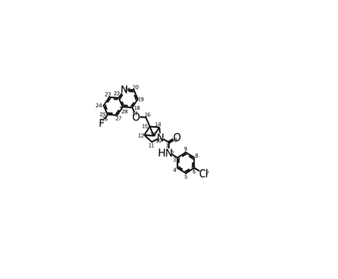 O=C(Nc1ccc(Cl)cc1)N1CC2C3C1C23COc1ccnc2ccc(F)cc12